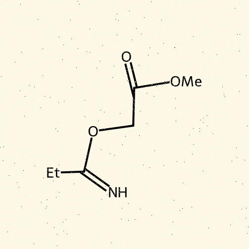 CCC(=N)OCC(=O)OC